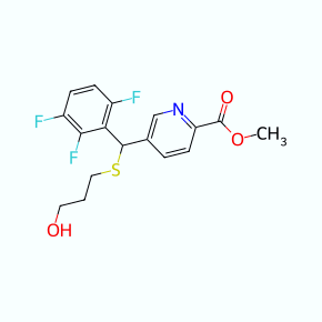 COC(=O)c1ccc(C(SCCCO)c2c(F)ccc(F)c2F)cn1